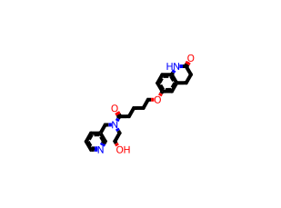 O=C1CCc2cc(OCCCCC(=O)N(CCO)Cc3cccnc3)ccc2N1